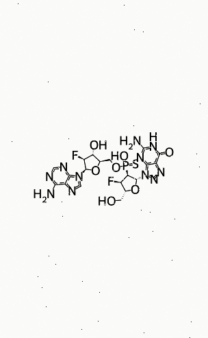 Nc1nc2c(nnn2[C@@H]2O[C@H](CO)[C@@H](F)[C@H]2P(O)(=S)OC[C@H]2O[C@@H](n3cnc4c(N)ncnc43)[C@@H](F)[C@@H]2O)c(=O)[nH]1